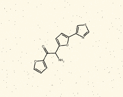 NC(C(=O)c1ccco1)c1ccc(-c2cscn2)o1